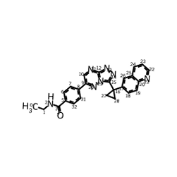 CCNC(=O)c1ccc(-c2cnc3nnc(C4(c5ccc6ncccc6c5)CC4)n3n2)cc1